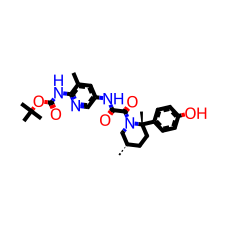 Cc1cc(NC(=O)C(=O)N2C[C@@H](C)CC[C@@]2(C)c2ccc(O)cc2)cnc1NC(=O)OC(C)(C)C